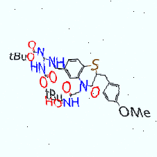 COc1ccc(CC2Sc3ccc(CNC(=NC(=O)OC(C)(C)C)NC(=O)OC(C)(C)C)cc3N(CC(=O)NO)C2=O)cc1